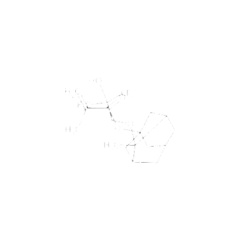 C=C(C)C(=O)OC12CC3CC(C1)C(C)(OCC(O)(C(F)(F)F)C(F)(F)F)C(C3)C2